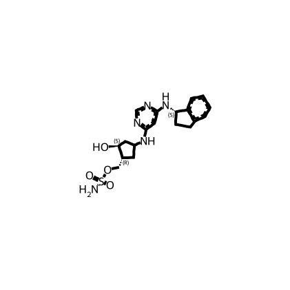 NS(=O)(=O)OC[C@H]1CC(Nc2cc(N[C@H]3CCc4ccccc43)ncn2)C[C@@H]1O